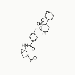 CC(=O)N1CC2CC2(NC(=O)c2ccc(CN3[C@@H](C)CCC(c4ccccc4)S3(=O)=O)cc2)C1